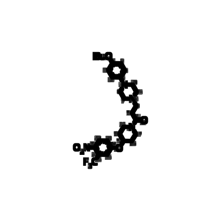 CC(C)COc1ccc(N2CCN(CCC(=O)N3CCC(Oc4ccc([N+](=O)[O-])c(C(F)(F)F)c4)CC3)CC2)cc1